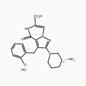 CCOC(=O)c1cn2nc(N3CCC[C@@H](N)C3)c(Cc3ccccc3Cl)c2c(=O)[nH]1.Cl